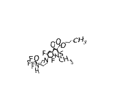 CCCCOC(=O)c1c2n(c3c(F)c(N4CCC(NC(=O)C(F)(F)F)C4)c(F)cc3c1=O)C(C)S2